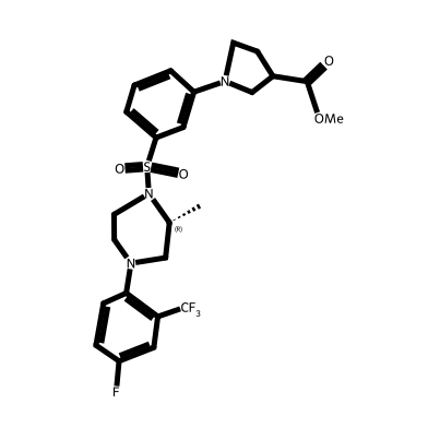 COC(=O)C1CCN(c2cccc(S(=O)(=O)N3CCN(c4ccc(F)cc4C(F)(F)F)C[C@H]3C)c2)C1